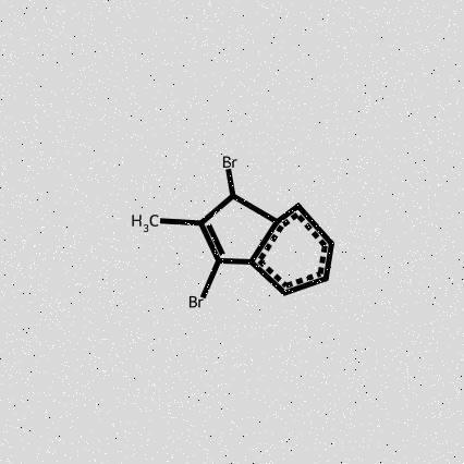 CC1=C(Br)c2ccccc2C1Br